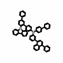 c1ccc(-c2ccc(N(c3ccc(-c4cc(-c5ccccc5)ccc4-n4c5ccccc5c5ccccc54)cc3)c3cccc(-c4ccc(-c5ccccc5)c5ccccc45)c3)cc2)cc1